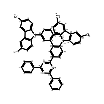 N#Cc1ccc2c(c1)c1cc(C#N)ccc1n2-c1ccc(C(F)(F)F)c(-c2cc(-c3nc(-c4ccccc4)nc(-c4ccccc4)n3)ccc2-n2c3ccc(C#N)cc3c3cc(C#N)ccc32)c1